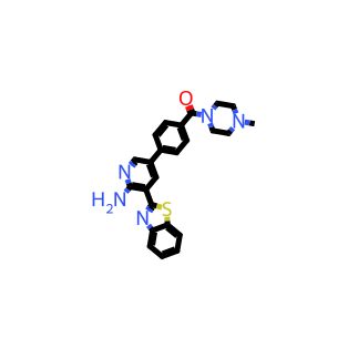 CN1CCN(C(=O)c2ccc(-c3cnc(N)c(-c4nc5ccccc5s4)c3)cc2)CC1